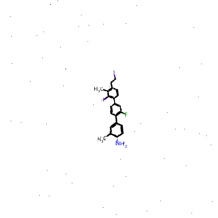 Cc1c(CCI)ccc(-c2ccc(C3=CC(C)[C@@H](N)C=C3)c(F)c2)c1I